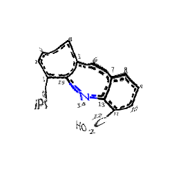 CC(C)c1cccc2cc3cccc(C(=O)O)c3nc12